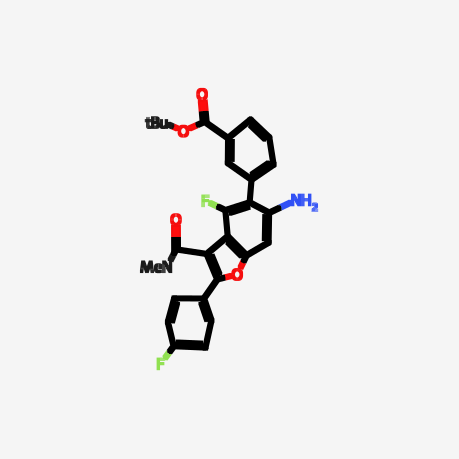 CNC(=O)c1c(-c2ccc(F)cc2)oc2cc(N)c(-c3cccc(C(=O)OC(C)(C)C)c3)c(F)c12